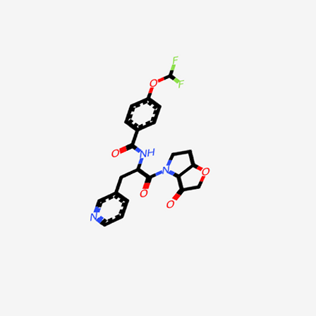 O=C(NC(Cc1cccnc1)C(=O)N1CCC2OCC(=O)C21)c1ccc(OC(F)F)cc1